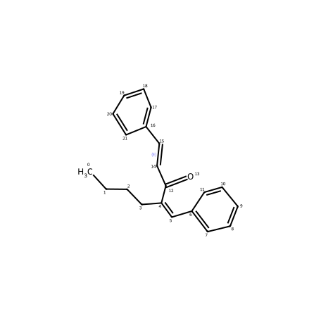 CCCCC(=Cc1ccccc1)C(=O)/C=C/c1ccccc1